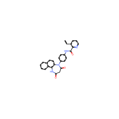 C=Cc1cccnc1C(=O)Nc1ccc(N2C(=O)CC(=O)Nc3c2ccc2ccccc32)cc1